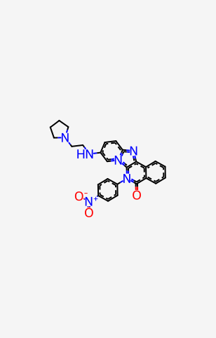 O=c1c2ccccc2c2nc3ccc(NCCN4CCCC4)cn3c2n1-c1ccc([N+](=O)[O-])cc1